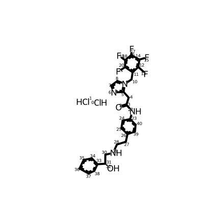 Cl.Cl.O=C(Cc1nccn1Cc1c(F)c(F)c(F)c(F)c1F)Nc1ccc(CCNC[C@H](O)c2ccccc2)cc1